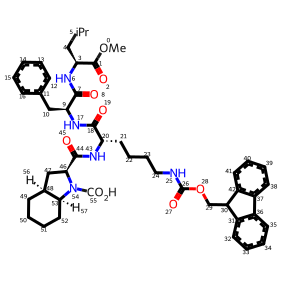 COC(=O)[C@H](CC(C)C)NC(=O)[C@H](Cc1ccccc1)NC(=O)[C@H](CCCCNC(=O)OCC1c2ccccc2-c2ccccc21)NC(=O)[C@@H]1C[C@@H]2CCCC[C@@H]2N1C(=O)O